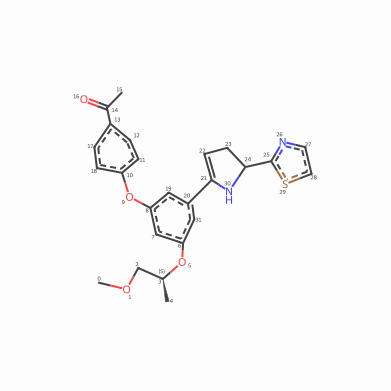 COC[C@H](C)Oc1cc(Oc2ccc(C(C)=O)cc2)cc(C2=CCC(c3nccs3)N2)c1